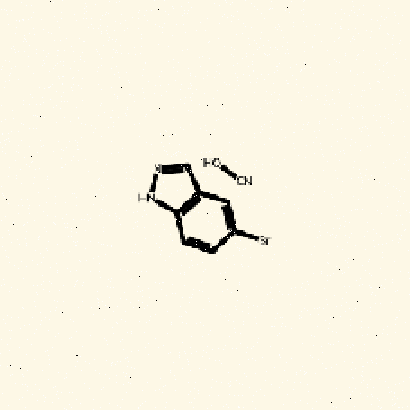 Brc1ccc2[nH]ncc2c1.N#CO